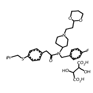 CC(C)CSc1ccc(CC(=O)N(Cc2ccc(F)cc2)C2CCN(CCC3OCCCO3)CC2)cc1.O=C(O)C(O)C(O)C(=O)O